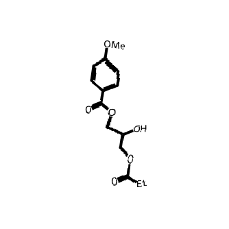 CCC(=O)OCC(O)COC(=O)c1ccc(OC)cc1